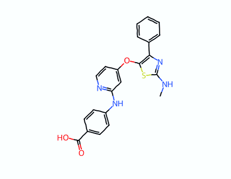 CNc1nc(-c2ccccc2)c(Oc2ccnc(Nc3ccc(C(=O)O)cc3)c2)s1